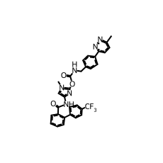 Cc1ccc(-c2ccc(CNC(=O)Oc3nc(NC(=O)c4ccccc4-c4ccc(C(F)(F)F)cc4)cn3C)cc2)nn1